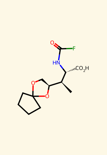 C[C@@H]([C@@H]1COC2(CCCC2)O1)[C@H](NC(=O)F)C(=O)O